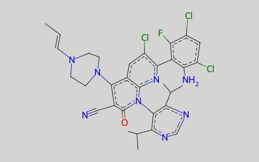 CC=CN1CCN(c2c(C#N)c(=O)n(-c3c(C(C)C)ncnc3C(C)C)c3nc(-c4c(N)c(Cl)cc(Cl)c4F)c(Cl)cc23)CC1